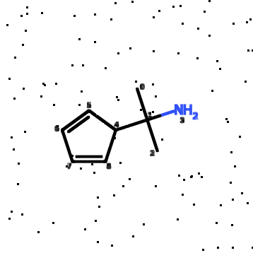 CC(C)(N)C1C=CC=C1